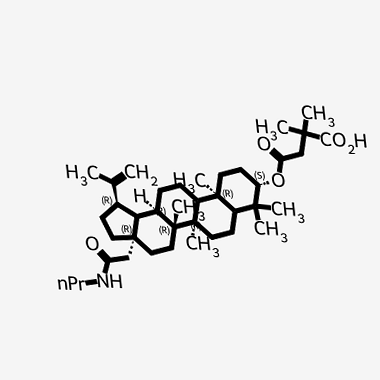 C=C(C)[C@@H]1CC[C@]2(CC(=O)NCCC)CC[C@]3(C)[C@H](CCC4[C@@]5(C)CC[C@H](OC(=O)CC(C)(C)C(=O)O)C(C)(C)C5CC[C@]43C)C12